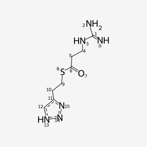 N=C(N)NCCC(=O)SCCc1c[nH]nn1